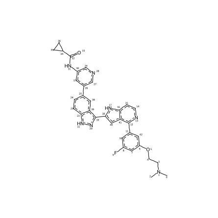 CN(C)CCOc1cc(F)cc(-c2nccc3[nH]c(-c4n[nH]c5ccc(-c6cncc(NC(=O)C7CC7)c6)cc45)cc23)c1